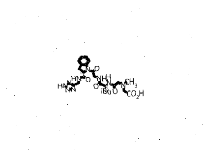 CC[C@H](C)[C@H](NC(=O)CN(C)CC(=O)O)C(=O)NCC(=O)N1c2ccccc2C[C@H]1C(=O)NCc1nn[nH]n1